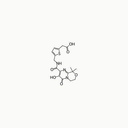 CC1(C)OCCn2c1nc(C(=O)NCc1ccc(CC(=O)O)s1)c(O)c2=O